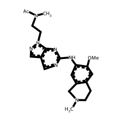 COc1cc2c(cc1Nc1ncc3cnn(CCN(C)C(C)=O)c3n1)CN(C)CC2